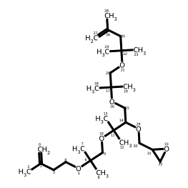 C=C(C)CCOC(C)(C)COC(C)(C)C(COC(C)(C)COC(C)(C)CC(=C)C)OCC1CO1